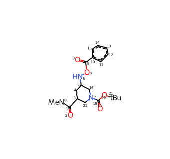 CNC(=O)C1CC(NOC(=O)c2ccccc2)CN(C(=O)OC(C)(C)C)C1